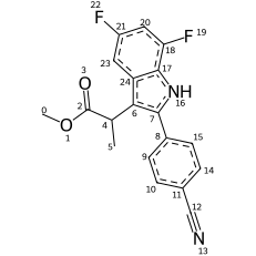 COC(=O)C(C)c1c(-c2ccc(C#N)cc2)[nH]c2c(F)cc(F)cc12